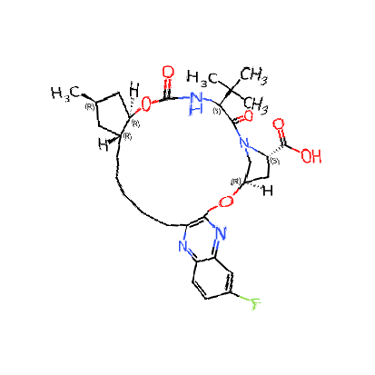 C[C@@H]1C[C@H]2CCCCCc3nc4ccc(F)cc4nc3O[C@@H]3C[C@@H](C(=O)O)N(C3)C(=O)[C@H](C(C)(C)C)NC(=O)O[C@@H]2C1